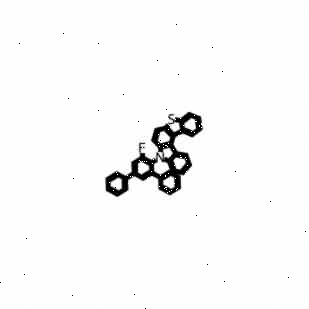 Fc1cc(-c2ccccc2)cc(-c2ccccc2)c1-n1c2ccccc2c2c3c(ccc21)sc1ccccc13